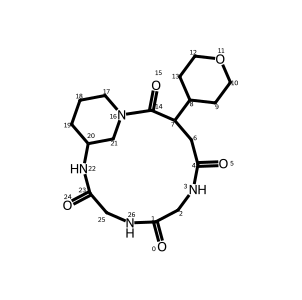 O=C1CNC(=O)CC(C2CCOCC2)C(=O)N2CCCC(C2)NC(=O)CN1